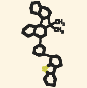 CC1(C)c2ccc3ccccc3c2-c2c1cc(-c1cccc(-c3cccc4c3sc3ccccc34)c1)c1ccccc21